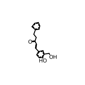 O=C(C=Cc1ccc(O)c(CO)c1)CCc1ccccc1